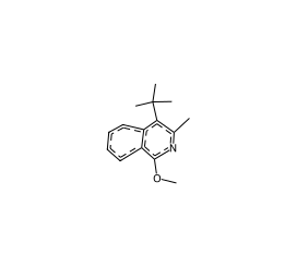 COc1nc(C)c(C(C)(C)C)c2ccccc12